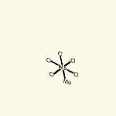 [Cl][Mo]([Cl])([Cl])([Cl])([Cl])[Mo]